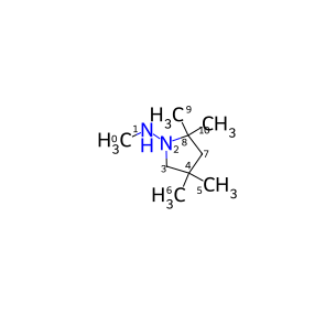 CNN1CC(C)(C)CC1(C)C